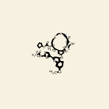 COc1ccc2c(O[C@H]3CC4C(=O)[C@@H](NC(=O)OC5CCCC5)CCCCC/C=C\[C@@H]5C[C@@]5(C(=O)O)NC(=O)[C@@H]4C3)cc(-c3csc(NC(C)C)n3)nc2c1